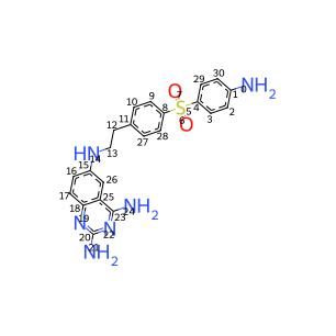 Nc1ccc(S(=O)(=O)c2ccc(CCNc3ccc4nc(N)nc(N)c4c3)cc2)cc1